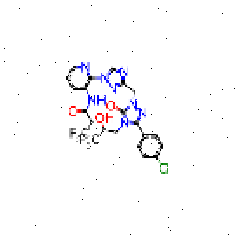 O=C(CC(F)(F)F)Nc1cccnc1-n1cnc(Cn2nc(-c3ccc(Cl)cc3)n(CC(O)C(F)(F)F)c2=O)n1